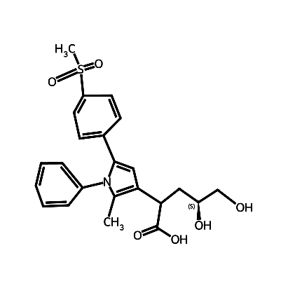 Cc1c(C(C[C@H](O)CO)C(=O)O)cc(-c2ccc(S(C)(=O)=O)cc2)n1-c1ccccc1